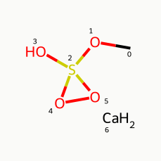 COS1(O)OO1.[CaH2]